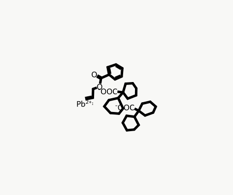 C=CCOC(=O)c1ccccc1.O=C([O-])C1(C2CCCCC2)CCCCC1.O=C([O-])C1(C2CCCCC2)CCCCC1.[Pb+2]